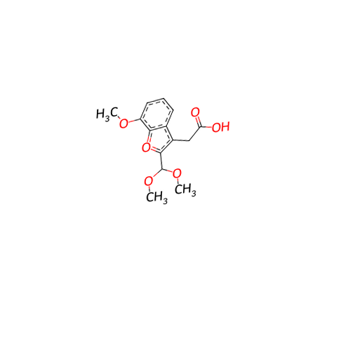 COc1cccc2c(CC(=O)O)c(C(OC)OC)oc12